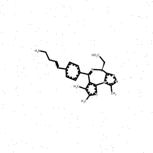 Cc1sc2c(c1C)C(c1ccc(/C=C/CCN)cc1)=N[C@@H](CC(=O)O)c1nnc(C)n1-2